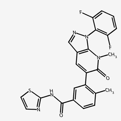 Cc1ccc(C(=O)Nc2nccs2)cc1-c1cc2cnn(-c3c(F)cccc3F)c2n(C)c1=O